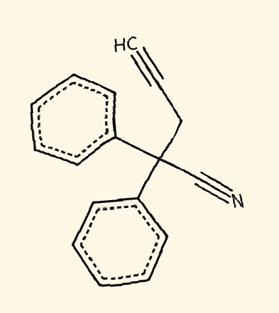 C#CCC(C#N)(c1ccccc1)c1ccccc1